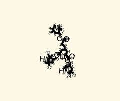 CN1C(C)(C)CC(COC(=O)CCC(CCC(=O)OCC2CC(C)(C)NC2(C)C)CC(=O)OCC2CC(C)(C)NC2(C)C)C1(C)C